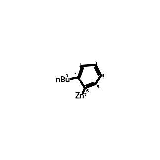 CCCCc1cccc[c]1[Zn]